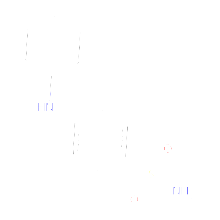 NS(=O)(=O)c1ccc(NC2CCCCC2)cc1